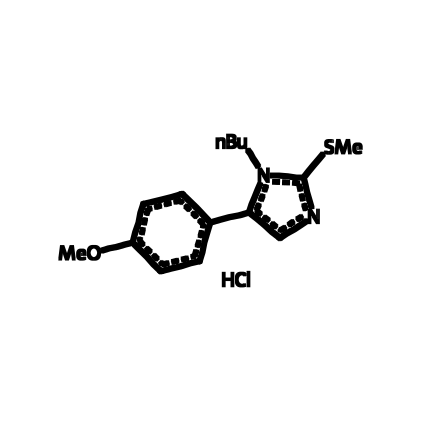 CCCCn1c(-c2ccc(OC)cc2)cnc1SC.Cl